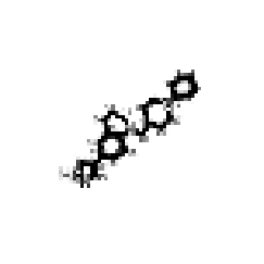 [c]1ccccc1N1CCC(CN2CCCc3cc(-c4cn[nH]c4)ccc32)CC1